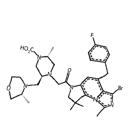 Cc1nc(Br)c2c(Cc3ccc(F)cc3)cc3c(n12)C(C)(C)CN3C(=O)CN1C[C@@H](C)N(C(=O)O)C[C@@H]1CN1CCOC[C@H]1C